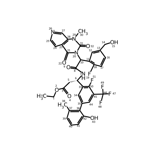 CCOC(=O)C[C@H](NC(=O)C(c1cc(CO)ccc1F)n1c(=O)c2ccncc2n(C)c1=O)c1cc(-c2c(C)cccc2O)cc(C(F)(F)F)c1F